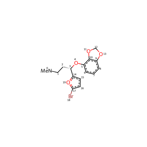 CNCC[C@H](Oc1cccc2c1OCO2)c1ccc(Br)o1